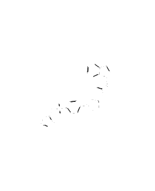 C[C@H](C(=O)N[C@H]1CCN(c2ccc(S(=O)(=O)Nc3ncns3)cc2)C1)n1ccc2ccccc21